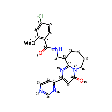 COc1cc(Cl)ccc1C(=O)NCC1CCCCn2c1nc(-c1ccncn1)cc2=O